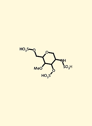 COC1C(COS(=O)(=O)O)OCC(NS(=O)(=O)O)C1OS(=O)(=O)O